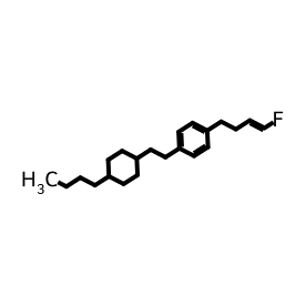 CCCCC1CCC(CCc2ccc(CC/C=C/F)cc2)CC1